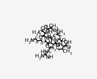 CC[C@H](C)[C@H](NC(=O)[C@H](CC(C)C)NC(=O)[C@H](CCCNC(=N)N)NC(=O)[C@H](CCCCN)NC(=O)[C@@H](NC(=O)[C@H](C)N)C(C)C)C(=O)O